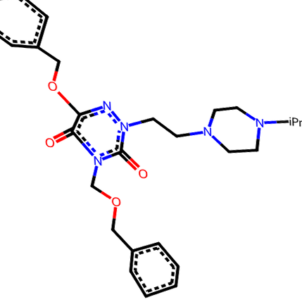 CC(C)N1CCN(CCn2nc(OCc3ccccc3)c(=O)n(COCc3ccccc3)c2=O)CC1